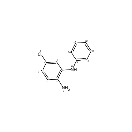 Nc1cnc(Cl)cc1Nc1ccccc1